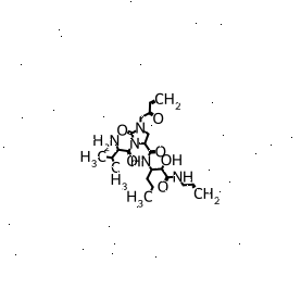 C=CCNC(=O)C(O)C(CCC)NC(=O)C1CN(CC(=O)C=C)C(=O)N1C(=O)C(N)C(C)C